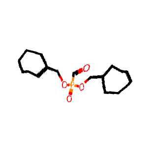 O=CP(=O)(OCC1CCCCC1)OCC1CCCCC1